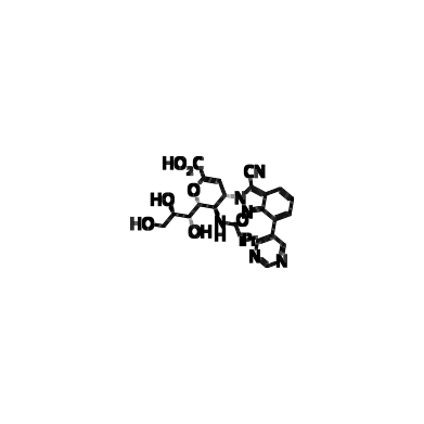 CC(C)C(=O)N[C@H]1[C@H]([C@H](O)[C@H](O)CO)OC(C(=O)O)=C[C@@H]1n1nc2c(-c3cncnc3)cccc2c1C#N